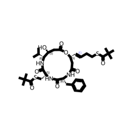 CC(C)[C@H]1NC(=O)[C@@H](CSC(=O)C(C)(C)C)NC(=O)[C@@H](Cc2ccccc2)NC(=O)C[C@@H](/C=C/CCSC(=O)C(C)(C)C)OC(=O)C[C@@H]1O